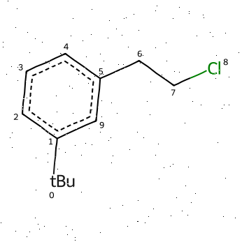 CC(C)(C)c1cccc(CCCl)c1